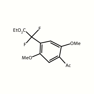 CCOC(=O)C(F)(F)c1cc(OC)c(C(C)=O)cc1OC